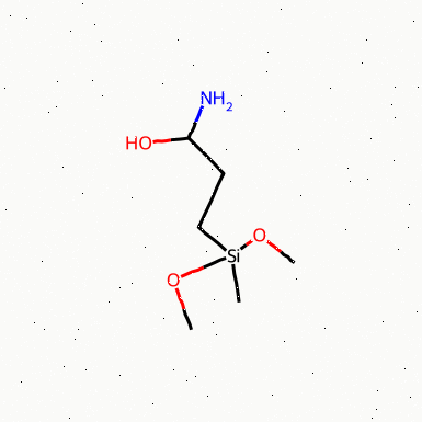 CO[Si](C)(CCC(N)O)OC